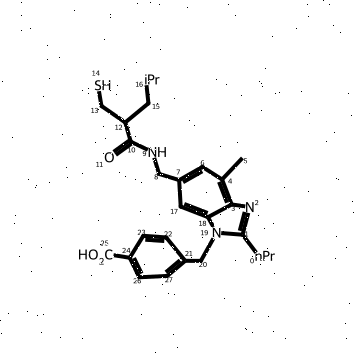 CCCc1nc2c(C)cc(CNC(=O)C(CS)CC(C)C)cc2n1Cc1ccc(C(=O)O)cc1